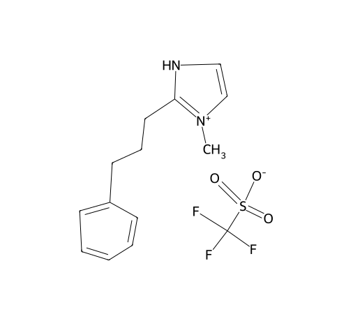 C[n+]1cc[nH]c1CCCc1ccccc1.O=S(=O)([O-])C(F)(F)F